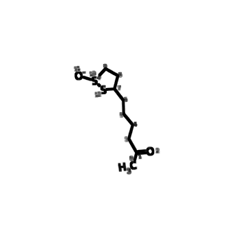 CC(=O)CCCCC1CC[S+]([O-])S1